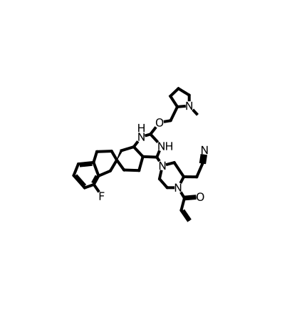 C=CC(=O)N1CCN(C2NC(OCC3CCCN3C)NC3C[C@@]4(CCc5cccc(F)c5C4)CCC32)CC1CC#N